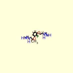 C[C@@H](CNN=N)Oc1cccc(OCCNN=N)c1F